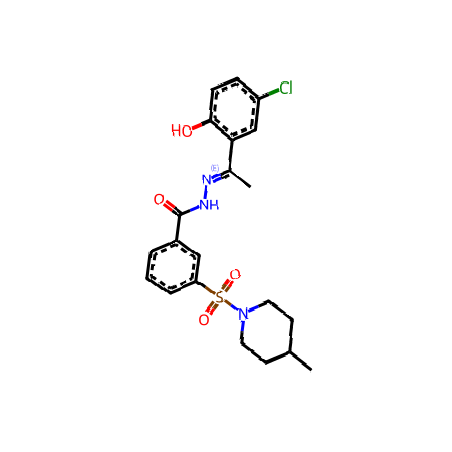 C/C(=N\NC(=O)c1cccc(S(=O)(=O)N2CCC(C)CC2)c1)c1cc(Cl)ccc1O